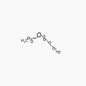 COC(=O)C=Cc1cccc(OOCCOCCOCC=O)c1